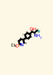 CCOc1ccc(-c2ccc([C@@H](O)[C@H](N)CF)cc2)cn1